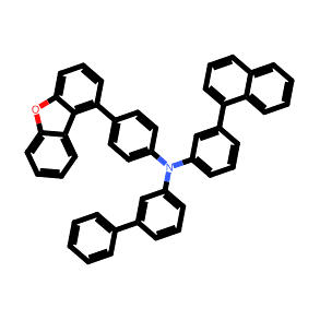 c1ccc(-c2cccc(N(c3ccc(-c4cccc5oc6ccccc6c45)cc3)c3cccc(-c4cccc5ccccc45)c3)c2)cc1